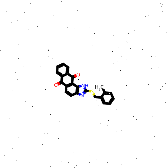 Cc1ccccc1CSc1nc2ccc3c(c2[nH]1)C(=O)c1ccccc1C3=O